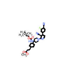 COC(=O)/C=C/c1ccc(C2(NC(=O)OCC[Si](C)(C)C)CCN(c3nccc(-c4ccc(C#N)c(F)c4)c3C#N)CC2)cc1